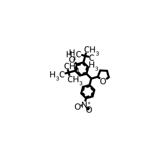 CC(C)(C)c1cc(C(c2ccc([N+](=O)[O-])cc2)C2CCCO2)cc(C(C)(C)C)c1O